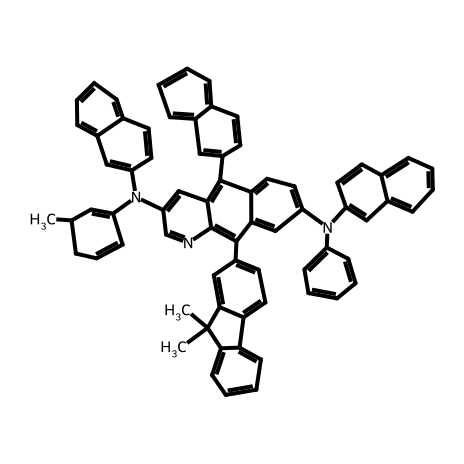 CC1C=C(N(c2ccc3ccccc3c2)c2cnc3c(-c4ccc5c(c4)C(C)(C)c4ccccc4-5)c4cc(N(c5ccccc5)c5ccc6ccccc6c5)ccc4c(-c4ccc5ccccc5c4)c3c2)C=CC1